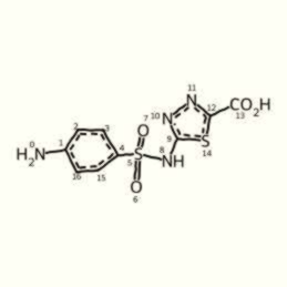 Nc1ccc(S(=O)(=O)Nc2nnc(C(=O)O)s2)cc1